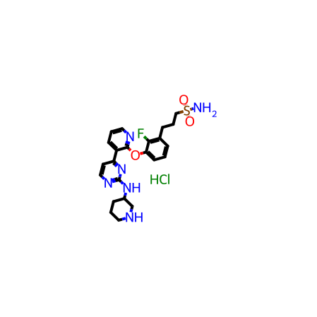 Cl.NS(=O)(=O)CCCc1cccc(Oc2ncccc2-c2ccnc(NC3CCCNC3)n2)c1F